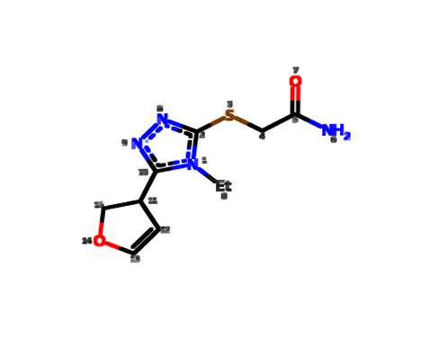 CCn1c(SCC(N)=O)nnc1C1C=COC1